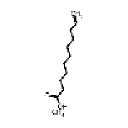 C.C=CCCCCCCCCC(=O)O